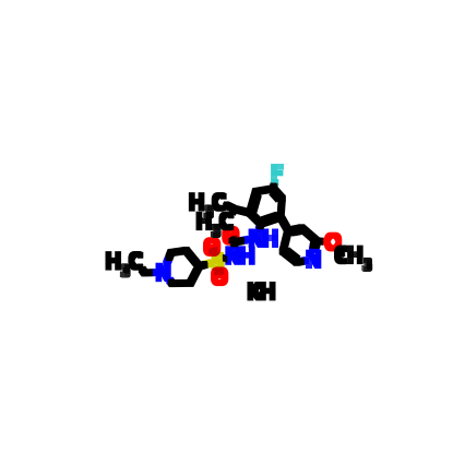 CCN1CCC(S(=O)(=O)NC(=O)Nc2c(-c3ccnc(OC)c3)cc(F)cc2C(C)C)CC1.[KH]